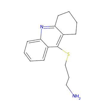 NCCCSc1c2c(nc3ccccc13)CCCC2